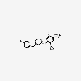 O=C(O)c1cc(C2CC2)c(O[C@@H]2CCCN(Cc3ccc(F)cc3)C2)cc1F